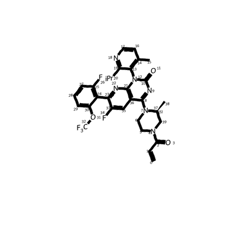 C=CC(=O)N1CCN(c2nc(=O)n(-c3c(C)ccnc3C(C)C)c3nc(-c4c(F)cccc4OC(F)(F)F)c(F)cc23)[C@@H](C)C1